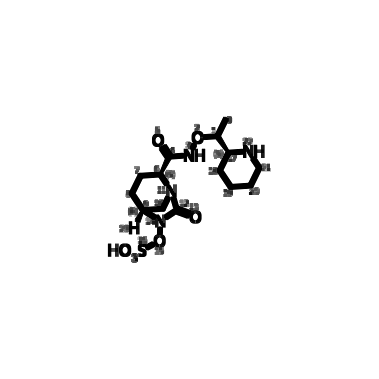 CC(ONC(=O)[C@@H]1CC[C@@H]2CN1C(=O)N2OS(=O)(=O)O)[C@@H]1CCCCN1